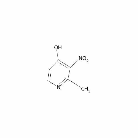 Cc1nccc(O)c1[N+](=O)[O-]